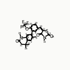 Cc1cc2c(cc1-c1cc(C=C3SC(=O)N(C)C3=O)ccc1OC(F)(F)F)N(C)C(=O)CC2(C)C